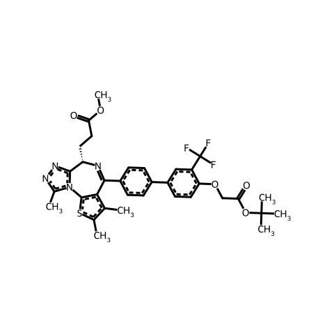 COC(=O)CC[C@@H]1N=C(c2ccc(-c3ccc(OCC(=O)OC(C)(C)C)c(C(F)(F)F)c3)cc2)c2c(sc(C)c2C)-n2c(C)nnc21